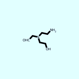 NCCN(CC=O)CCO